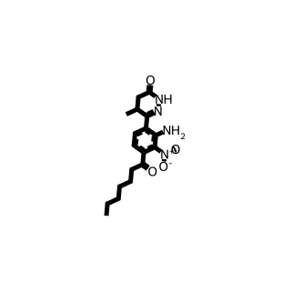 CCCCCCC(=O)c1ccc(C2=NNC(=O)CC2C)c(N)c1[N+](=O)[O-]